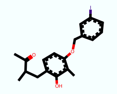 CC(=O)C(C)Cc1ccc(OCc2cccc(I)c2)c(C)c1O